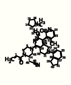 C=CC(=O)N1CCN(c2nc(OC[C@@H]3CCCN3C)c(-c3c(C)ccnc3C)c3c2CCN(c2cccc4c2CCC4)C3)C[C@@H]1CC#N